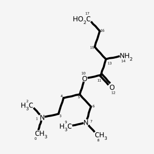 CN(C)CCC(CN(C)C)OC(=O)C(N)CCC(=O)O